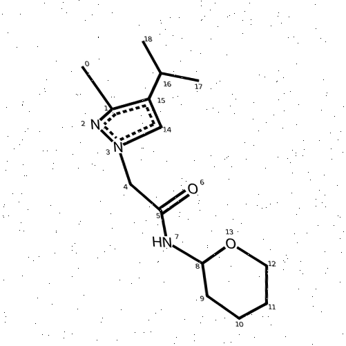 Cc1nn(CC(=O)NC2CCCCO2)cc1C(C)C